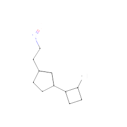 CC1CCC1C1CCC(CCN=O)C1